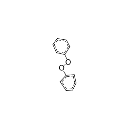 c1ccc(OOc2ccccc2)cc1